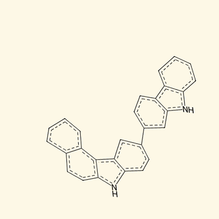 c1ccc2c(c1)ccc1[nH]c3ccc(-c4ccc5c(c4)[nH]c4ccccc45)cc3c12